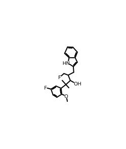 COc1ccc(F)cc1C(C)(C)C(O)C(CF)Cc1cc2ccccc2[nH]1